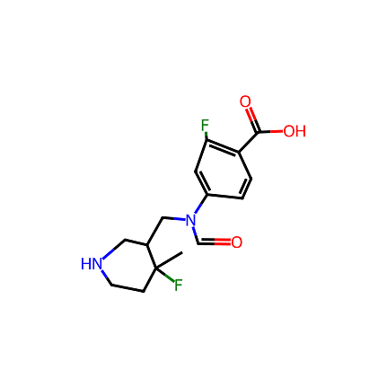 CC1(F)CCNCC1CN(C=O)c1ccc(C(=O)O)c(F)c1